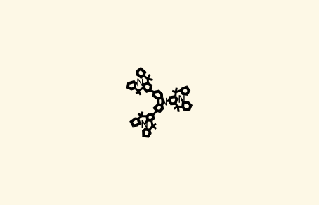 CC1(C)c2ccccc2N2c3ccccc3C(C)(C)c3cc(-c4ccc5c(c4)c4cc(-c6cc7c8c(c6)C(C)(C)c6ccccc6N8c6ccccc6C7(C)C)ccc4n5-c4cc5c6c(c4)C(C)(C)c4ccccc4N6c4ccccc4C5(C)C)cc1c32